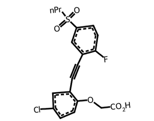 CCCS(=O)(=O)c1ccc(F)c(C#Cc2cc(Cl)ccc2OCC(=O)O)c1